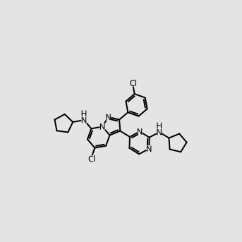 Clc1cccc(-c2nn3c(NC4CCCC4)cc(Cl)cc3c2-c2ccnc(NC3CCCC3)n2)c1